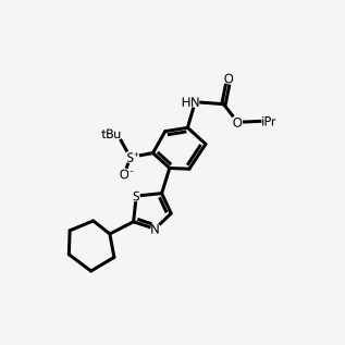 CC(C)OC(=O)Nc1ccc(-c2cnc(C3CCCCC3)s2)c([S+]([O-])C(C)(C)C)c1